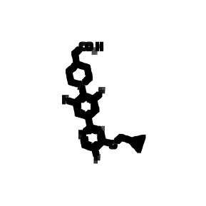 O=C(O)CC1CCN(c2c(F)cc(-c3ncc(F)c(OCC4CC4)n3)cc2F)CC1